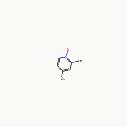 CC(C)(C)c1cc[n+]([O-])c(C#N)c1